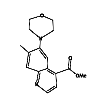 COC(=O)c1ccnc2cc(C)c(N3CCOCC3)cc12